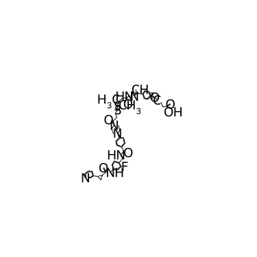 C/C(=N\NC(=O)CC(C)(C)SSCCC(=O)N1CCN(c2ccc(C(=O)NCc3ccc(NC(=O)C4CC4c4cccnc4)cc3F)cc2)CC1)c1ccc(OCCCC(=O)O)cc1